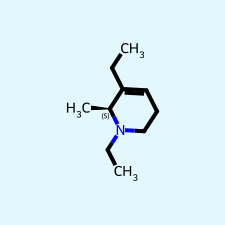 CCC1=CCCN(CC)[C@H]1C